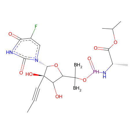 BC(B)(O[PH](=O)N[C@@H](C)C(=O)OC(C)C)C1O[C@@H](n2cc(F)c(=O)[nH]c2=O)[C@@](O)(C#CC)C1O